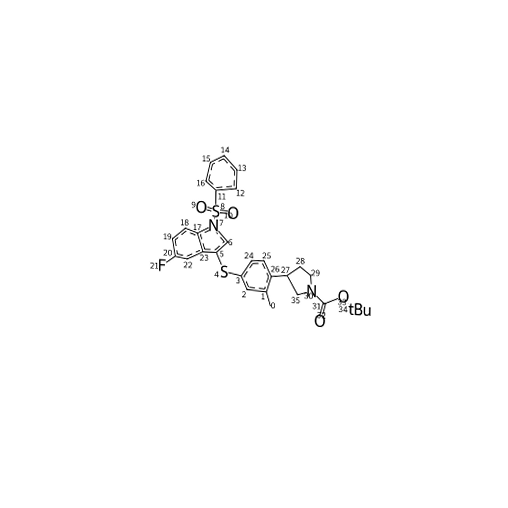 Cc1cc(Sc2cn(S(=O)(=O)c3ccccc3)c3ccc(F)cc23)ccc1C1CCN(C(=O)OC(C)(C)C)C1